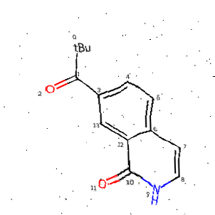 CC(C)(C)C(=O)c1ccc2cc[nH]c(=O)c2c1